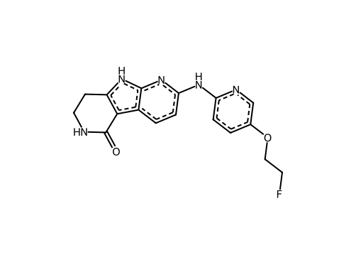 O=C1NCCc2[nH]c3nc(Nc4ccc(OCCF)cn4)ccc3c21